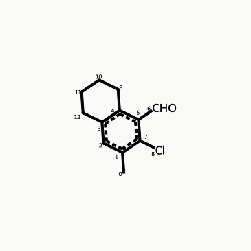 Cc1cc2c(c(C=O)c1Cl)CCCC2